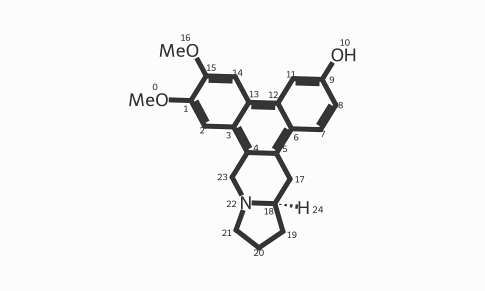 COc1cc2c3c(c4ccc(O)cc4c2cc1OC)C[C@H]1CCCN1C3